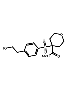 COC(=O)C1(S(=O)(=O)c2ccc(CCO)cc2)CCOCC1